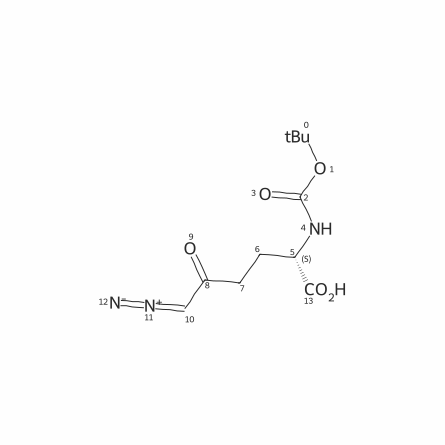 CC(C)(C)OC(=O)N[C@@H](CCC(=O)C=[N+]=[N-])C(=O)O